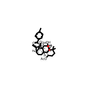 C=C1C(=O)[C@]23[C@H](OC(=O)c4ccc(C)cc4)[C@H]1CC[C@H]2[C@@]12CO[C@@]3(O)[C@@H](O)[C@@H]1C(C)(C)CCC2OC(C)=O